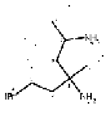 CC(C)CCC(C)(N)CC(C)N